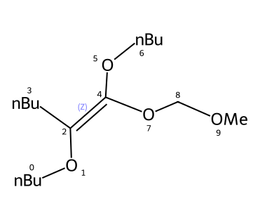 CCCCO/C(CCCC)=C(/OCCCC)OCOC